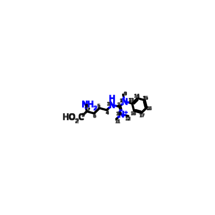 CN(C(NCCCC(N)C(=O)O)=[N+](C)C)c1ccccc1